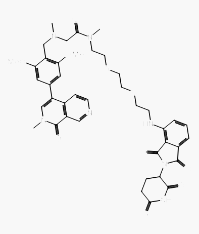 COc1cc(-c2cn(C)c(=O)c3cnccc23)cc(OC)c1CN(C)CC(=O)N(C)CCOCCOCCNc1cccc2c1C(=O)N(C1CCC(=O)NC1=O)C2=O